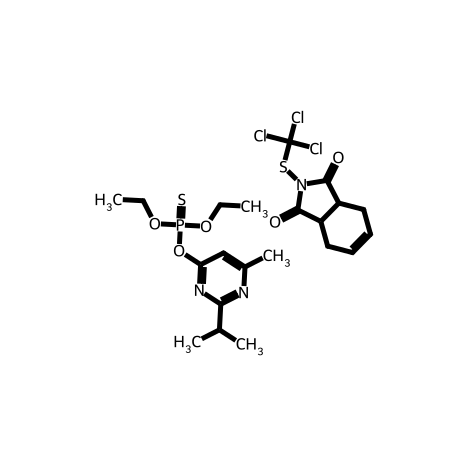 CCOP(=S)(OCC)Oc1cc(C)nc(C(C)C)n1.O=C1C2CC=CCC2C(=O)N1SC(Cl)(Cl)Cl